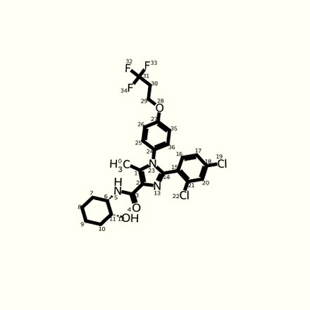 Cc1c(C(=O)N[C@H]2CCCC[C@H]2O)nc(-c2ccc(Cl)cc2Cl)n1-c1ccc(OCCC(F)(F)F)cc1